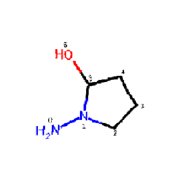 NN1CCCC1O